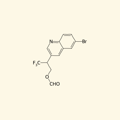 O=COCC(c1cnc2ccc(Br)cc2c1)C(F)(F)F